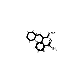 CNCC(CC1CCCCC1)c1ccccc1C(N)=O